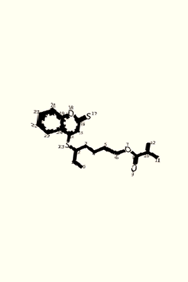 CCC(CCCCOC(=O)C(C)C)Sc1cc(=S)oc2ccccc12